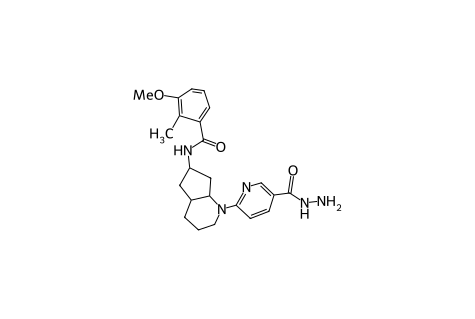 COc1cccc(C(=O)NC2CC3CCCN(c4ccc(C(=O)NN)cn4)C3C2)c1C